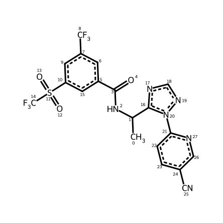 CC(NC(=O)c1cc(C(F)(F)F)cc(S(=O)(=O)C(F)(F)F)c1)c1ncnn1-c1ccc(C#N)cn1